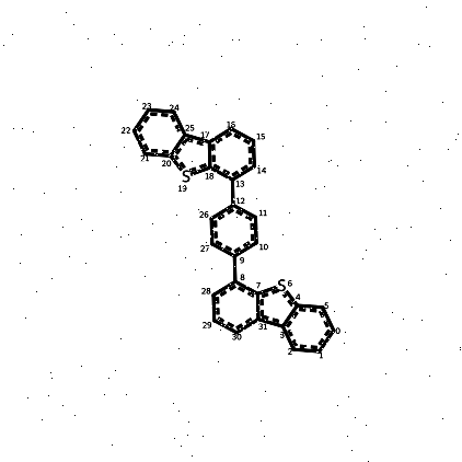 c1ccc2c(c1)sc1c(-c3ccc(-c4cccc5c4sc4ccccc45)cc3)cccc12